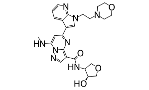 CNc1cc(-c2cn(CCN3CCOCC3)c3ncccc23)nc2c(C(=O)NC3COC[C@H]3O)cnn12